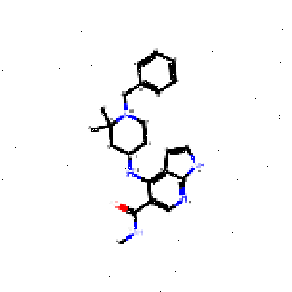 CNC(=O)c1cnc2[nH]ccc2c1N[C@@H]1CCN(Cc2ccccc2)C(C)(C)C1